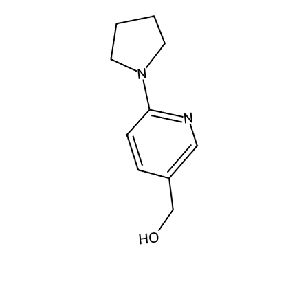 OCc1ccc(N2CCCC2)nc1